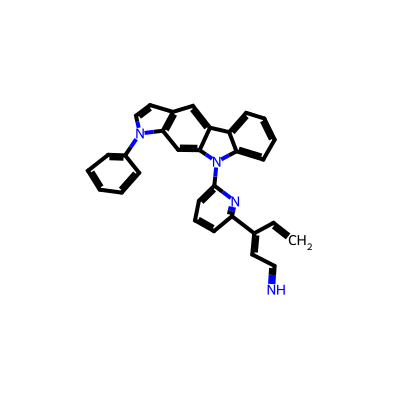 C=C/C(=C\C=N)c1cccc(-n2c3ccccc3c3cc4ccn(-c5ccccc5)c4cc32)n1